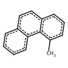 Cc1cccc2ccc3cc[c]cc3c12